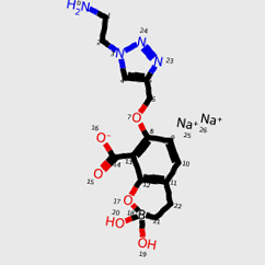 NCCn1cc(COc2ccc3c(c2C(=O)[O-])O[B-](O)(O)CC3)nn1.[Na+].[Na+]